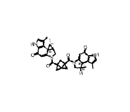 Cc1c[nH]c2c1[C@@]13C[C@@H]1CN(C(=O)C14CC5(C(=O)N6CC7[C@@H](C)[C@@]78C6=CC(=O)c6[nH]cc(C)c68)CC15C4)C3=CC2=O